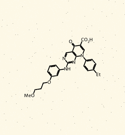 CCc1ccc(-n2cc(C(=O)O)c(=O)c3cnc(Nc4cccc(OCCCOC)c4)nc32)cc1